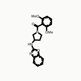 COc1cccc(OC)c1C(=O)N1CCC(Nc2nc3ccccc3o2)C1